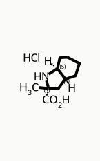 C[C@]1(C(=O)O)C[C@@H]2CCCC[C@@H]2N1.Cl